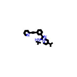 CC(C)c1ccn2c(NC(C)(C)C)c(-c3cccc(C#Cc4ccccn4)c3)nc2c1